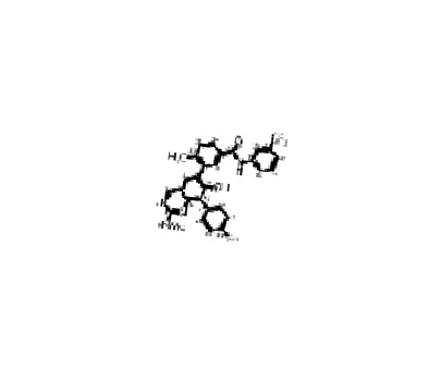 CNc1ncc2cc(-c3cc(C(=O)Nc4cccc(C(F)(F)F)c4)ccc3C)c(O)c(-c3ccc(F)cc3)c2n1